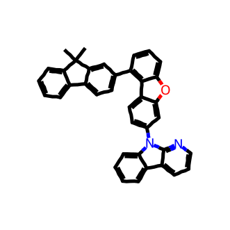 CC1(C)c2ccccc2-c2ccc(-c3cccc4oc5cc(-n6c7ccccc7c7cccnc76)ccc5c34)cc21